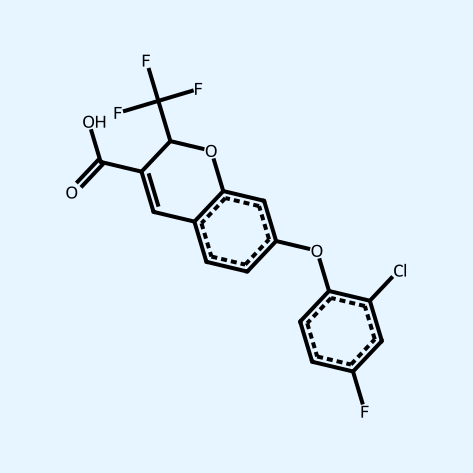 O=C(O)C1=Cc2ccc(Oc3ccc(F)cc3Cl)cc2OC1C(F)(F)F